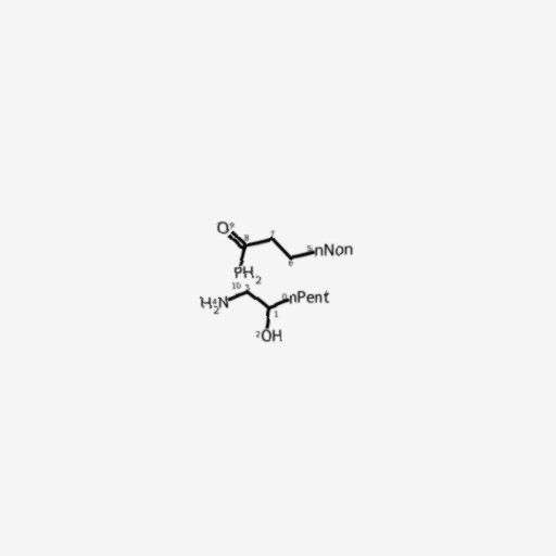 CCCCCC(O)CN.CCCCCCCCCCCC(=O)P